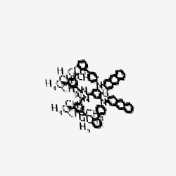 CC(C)(C)c1cc(-c2nc(-c3cc(C(C)(C)C)cc(C(C)(C)C)c3)nc(-c3cc4c5c(c3)N(c3ccc(-c6ccccc6)cc3)c3cc6cc7ccccc7cc6cc3B5c3cc5cc6ccccc6cc5cc3N4c3ccc(-c4ccccc4)cc3)n2)cc(C(C)(C)C)c1